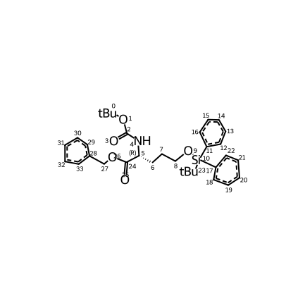 CC(C)(C)OC(=O)N[C@H](CCCO[Si](c1ccccc1)(c1ccccc1)C(C)(C)C)C(=O)OCc1ccccc1